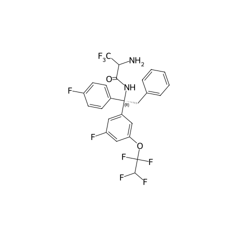 NC(C(=O)N[C@](Cc1ccccc1)(c1ccc(F)cc1)c1cc(F)cc(OC(F)(F)C(F)F)c1)C(F)(F)F